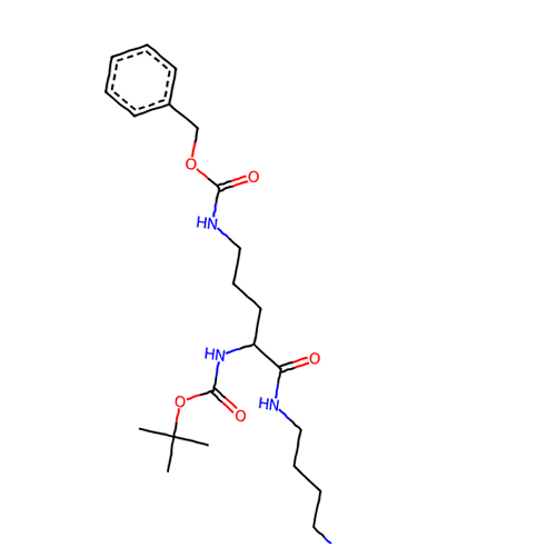 CC(C)(C)OC(=O)NC(CCCNC(=O)OCc1ccccc1)C(=O)NCCCCN